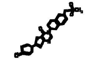 CS(=O)(=O)Cc1ccc2c(c1)CC[C@H](n1cnc3cc(-c4ccc(Cl)cc4)sc3c1=O)C2